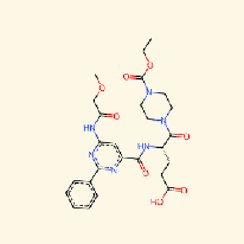 CCOC(=O)N1CCN(C(=O)[C@H](CCC(=O)O)NC(=O)c2cc(NC(=O)COC)nc(-c3ccccc3)n2)CC1